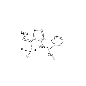 C[C@H](Nc1ncnc2[nH]cc(C(F)(F)F)c12)c1ccccc1